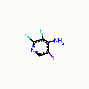 Nc1c(I)cnc(F)c1F